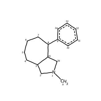 CN1CC2CCCCC(c3ccccc3)C2C1